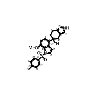 COc1ccc(C2(C#N)CCc3n[nH]cc3C2)c2ccn(S(=O)(=O)c3ccc(C)cc3)c12